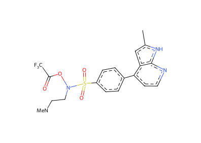 CNCCN(OC(=O)C(F)(F)F)S(=O)(=O)c1ccc(-c2ccnc3[nH]c(C)cc23)cc1